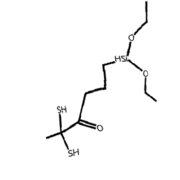 CCO[SiH](CCCC(=O)C(C)(S)S)OCC